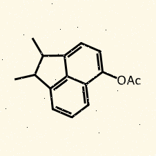 CC(=O)Oc1ccc2c3c(cccc13)C(C)C2C